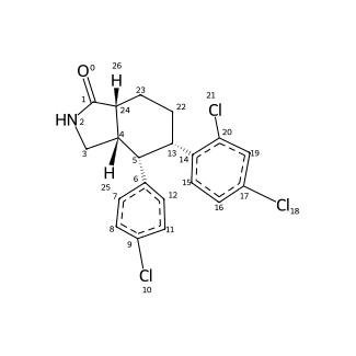 O=C1NC[C@H]2[C@@H](c3ccc(Cl)cc3)[C@@H](c3ccc(Cl)cc3Cl)CC[C@@H]12